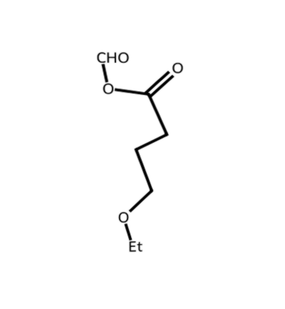 CCOCCCC(=O)OC=O